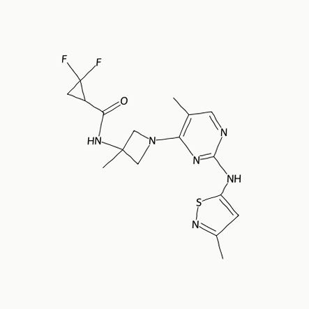 Cc1cc(Nc2ncc(C)c(N3CC(C)(NC(=O)C4CC4(F)F)C3)n2)sn1